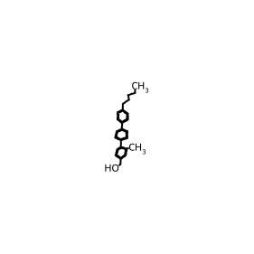 CCCCCc1ccc(-c2ccc(-c3ccc(CO)cc3C)cc2)cc1